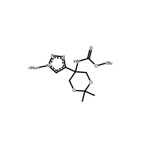 CCCCCCCCCn1cc(C2(NC(=O)OC(C)(C)C)COC(C)(C)OC2)nn1